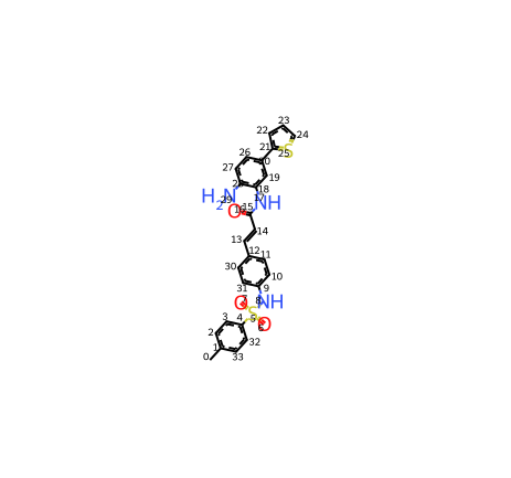 Cc1ccc(S(=O)(=O)Nc2ccc(C=CC(=O)Nc3cc(-c4cccs4)ccc3N)cc2)cc1